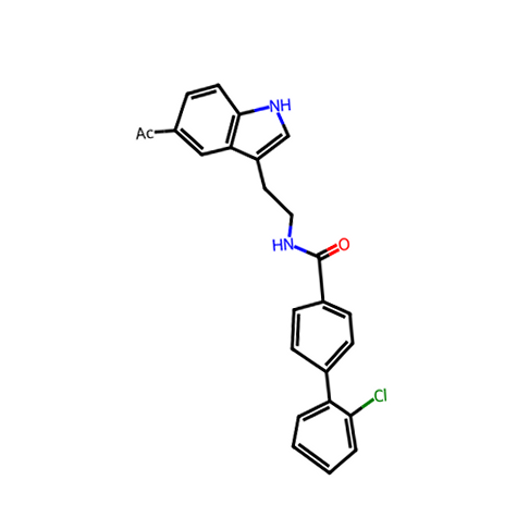 CC(=O)c1ccc2[nH]cc(CCNC(=O)c3ccc(-c4ccccc4Cl)cc3)c2c1